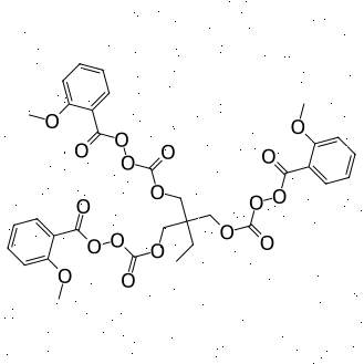 CCC(COC(=O)OOC(=O)c1ccccc1OC)(COC(=O)OOC(=O)c1ccccc1OC)COC(=O)OOC(=O)c1ccccc1OC